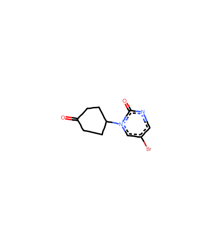 O=C1CCC(n2cc(Br)cnc2=O)CC1